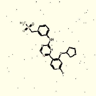 CS(=O)(=O)Cc1cccc(Nc2ncnc(-c3ccc(F)cc3OC3CCCC3)n2)c1